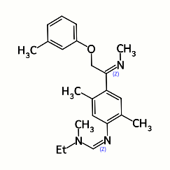 CCN(C)/C=N\c1cc(C)c(/C(COc2cccc(C)c2)=N/C)cc1C